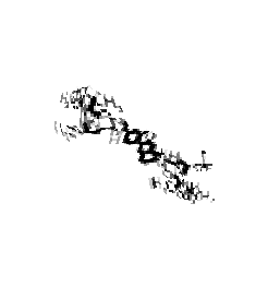 COC[C@H]1C[C@@H](c2ncc(-c3ccc4c(c3)COc3cc5c(ccc6nc(C7C[C@H](COC(F)F)CN7C(=O)[C@@H](NC(=O)OC)C(C)C)[nH]c65)cc3-4)[nH]2)N(C(=O)[C@@H](NC(=O)OC)C(C)C)C1